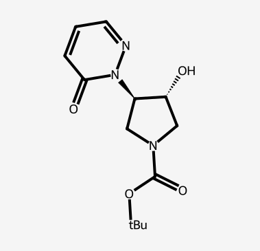 CC(C)(C)OC(=O)N1C[C@@H](O)[C@H](n2ncccc2=O)C1